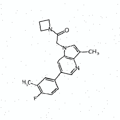 Cc1cc(-c2cnc3c(C)cn(CC(=O)N4CCC4)c3c2)ccc1F